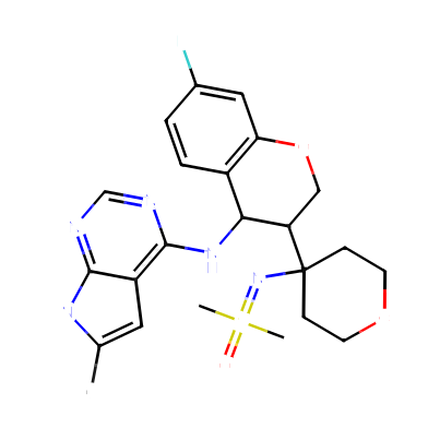 CS(C)(=O)=NC1(C2COc3cc(F)ccc3C2Nc2ncnc3[nH]c(C(F)(F)F)cc23)CCOCC1